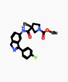 CCC1(C(=O)Nc2ccc3c(c2)C(c2ccc(F)cc2)=NC3)CCN(C(=O)OC(C)(C)C)C1